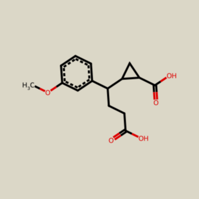 COc1cccc(C(CCC(=O)O)C2CC2C(=O)O)c1